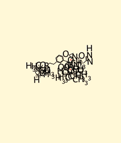 CC(C)(C)OC(=O)N[C@@H](Cc1c[nH]cn1)C(=O)N1CC(Oc2ccc(CCB3O[C@@H]4C[C@@H]5C[C@@H](C5(C)C)[C@]4(C)O3)c(OC(=O)OC(C)(C)C)c2C(=O)OC(C)(C)C)C1